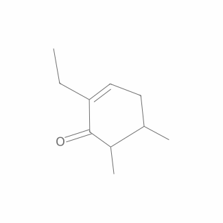 CCC1=CCC(C)C(C)C1=O